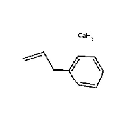 C=CCc1ccccc1.[CaH2]